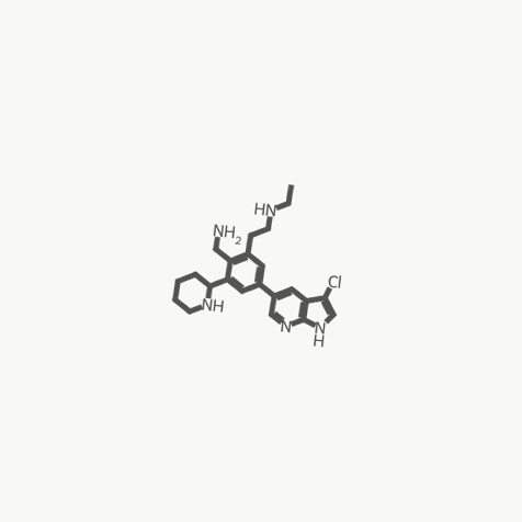 CCNCCc1cc(-c2cnc3[nH]cc(Cl)c3c2)cc(C2CCCCN2)c1CN